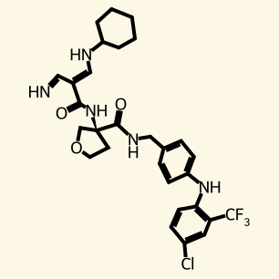 N=C/C(=C\NC1CCCCC1)C(=O)N[C@@]1(C(=O)NCc2ccc(Nc3ccc(Cl)cc3C(F)(F)F)cc2)CCOC1